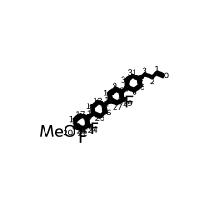 C=CCCC1CCC(c2ccc(-c3ccc(-c4ccc(OC)c(F)c4F)cc3)cc2F)CC1